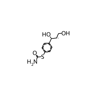 NC(=O)Sc1ccc([C@@H](O)[CH]CO)cc1